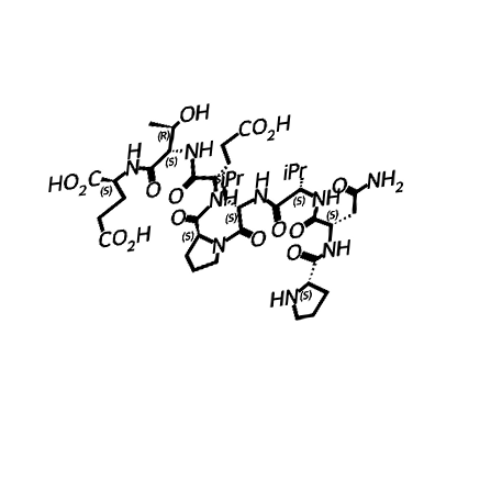 CC(C)C[C@H](NC(=O)[C@@H](NC(=O)[C@H](CC(N)=O)NC(=O)[C@@H]1CCCN1)C(C)C)C(=O)N1CCC[C@H]1C(=O)N[C@@H](CCC(=O)O)C(=O)N[C@H](C(=O)N[C@@H](CCC(=O)O)C(=O)O)[C@@H](C)O